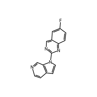 Fc1ccc2nc(-n3ccc4ccncc43)ncc2c1